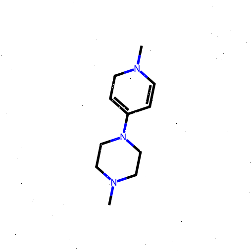 CN1C=CC(N2CCN(C)CC2)=CC1